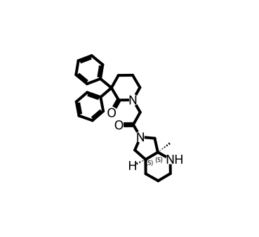 C[C@@]12CN(C(=O)CN3CCCC(c4ccccc4)(c4ccccc4)C3=O)C[C@@H]1CCCN2